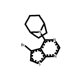 Brc1csc2ncnc(N3C4CCCC3CC4)c12